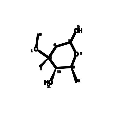 CO[C@@]1(C)CC(O)O[C@@H](C)[C@@H]1O